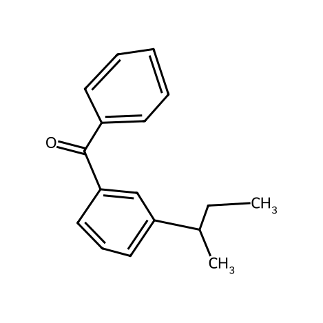 CCC(C)c1cccc(C(=O)c2ccccc2)c1